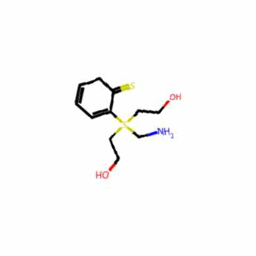 NCS(CCO)(CCO)C1=CC=CCC1=S